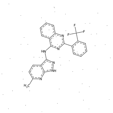 Cc1ccc2c(Nc3nc(-c4ccccc4C(F)(F)F)nc4ccccc34)n[nH]c2n1